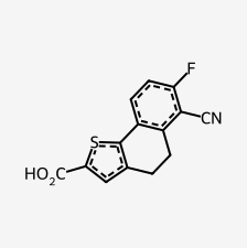 N#Cc1c(F)ccc2c1CCc1cc(C(=O)O)sc1-2